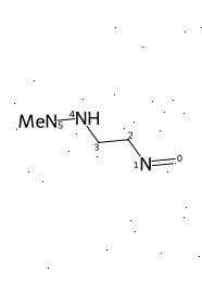 C=NCCNNC